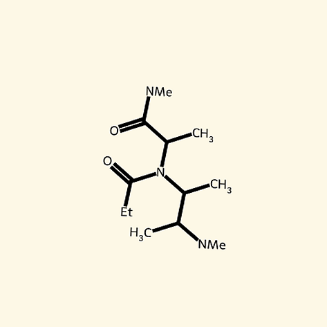 CCC(=O)N(C(C)C(=O)NC)C(C)C(C)NC